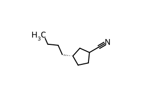 CCCC[C@H]1CCC(C#N)C1